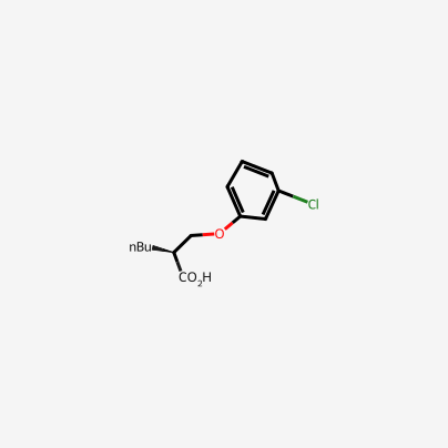 CCCC[C@@H](COc1cccc(Cl)c1)C(=O)O